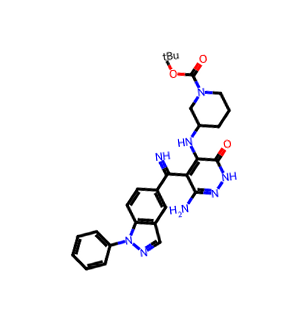 CC(C)(C)OC(=O)N1CCCC(Nc2c(C(=N)c3ccc4c(cnn4-c4ccccc4)c3)c(N)n[nH]c2=O)C1